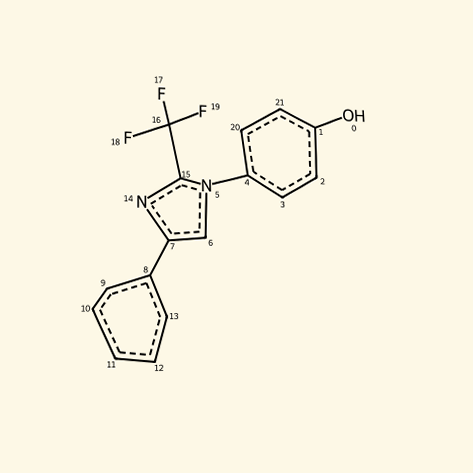 Oc1ccc(-n2cc(-c3ccccc3)nc2C(F)(F)F)cc1